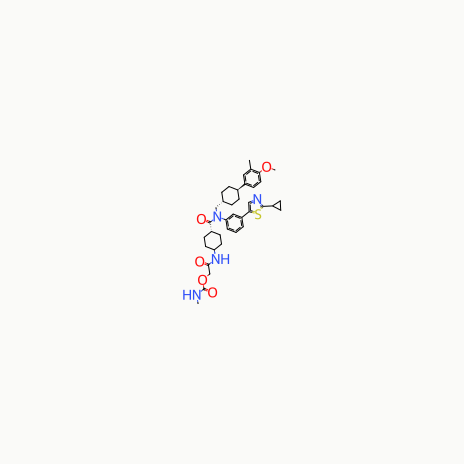 CNC(=O)OCC(=O)N[C@H]1CC[C@H](C(=O)N(C[C@H]2CC[C@H](c3ccc(OC)c(C)c3)CC2)c2cccc(-c3cnc(C4CC4)s3)c2)CC1